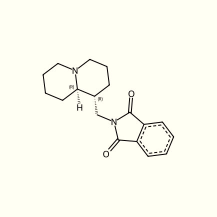 O=C1c2ccccc2C(=O)N1C[C@H]1CCCN2CCCC[C@H]12